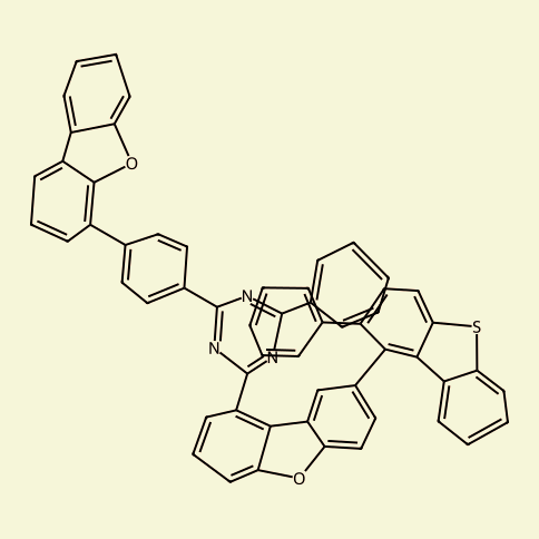 c1ccc(-c2nc(-c3ccc(-c4cccc5c4oc4ccccc45)cc3)nc(-c3cccc4oc5ccc(-c6c(-c7ccccc7)ccc7sc8ccccc8c67)cc5c34)n2)cc1